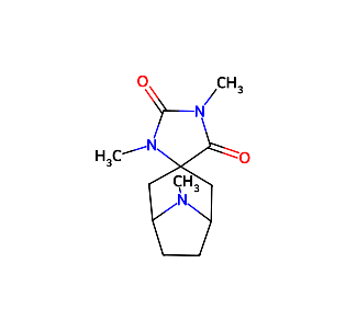 CN1C(=O)N(C)C2(CC3CCC(C2)N3C)C1=O